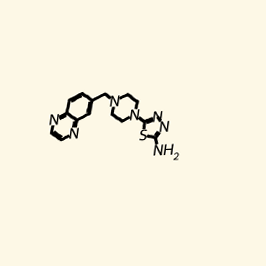 Nc1nnc(N2CCN(Cc3ccc4nccnc4c3)CC2)s1